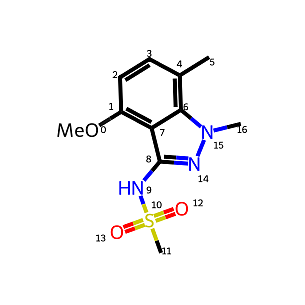 COc1ccc(C)c2c1c(NS(C)(=O)=O)nn2C